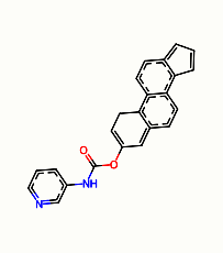 O=C(Nc1cccnc1)OC1=CCc2c(ccc3c4c(ccc23)=CC=C4)=C1